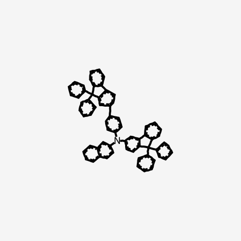 c1ccc(C2(c3ccccc3)c3ccccc3-c3cc(N(c4ccc(-c5ccc6c(c5)C(c5ccccc5)(c5ccccc5)c5ccccc5-6)cc4)c4ccc5ccccc5c4)ccc32)cc1